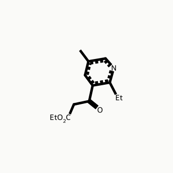 CCOC(=O)CC(=O)c1cc(C)cnc1CC